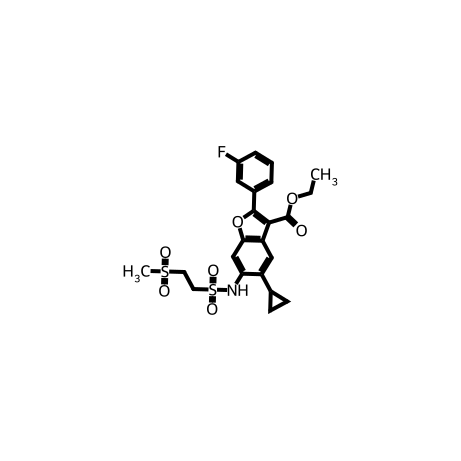 CCOC(=O)c1c(-c2cccc(F)c2)oc2cc(NS(=O)(=O)CCS(C)(=O)=O)c(C3CC3)cc12